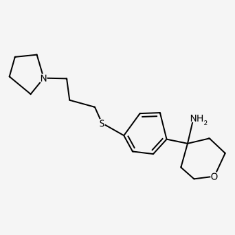 NC1(c2ccc(SCCCN3CCCC3)cc2)CCOCC1